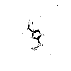 COc1ncc(CO)s1